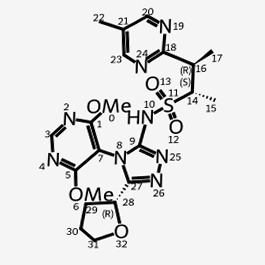 COc1ncnc(OC)c1-n1c(NS(=O)(=O)[C@@H](C)[C@H](C)c2ncc(C)cn2)nnc1[C@H]1CCCO1